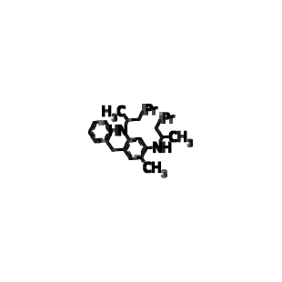 Cc1cc(Cc2ccccc2)c(NC(C)CC(C)C)cc1NC(C)CC(C)C